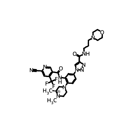 C[C@H]1CN(c2ccc(-n3cc(C(=O)NCCCN4CCOCC4)nn3)cc2NC(=O)c2cnc(C#N)cc2C(F)(F)F)CCN1C